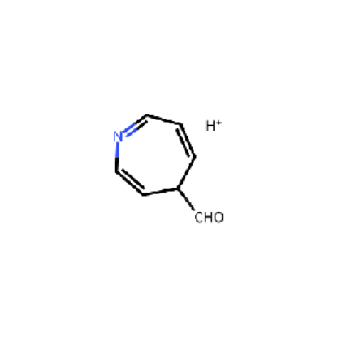 O=CC1C=CC=NC=C1.[H+]